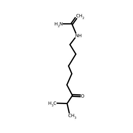 C=C(N)NCCCCCC(=O)C(C)C